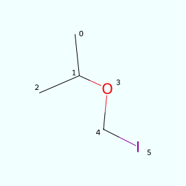 CC(C)OCI